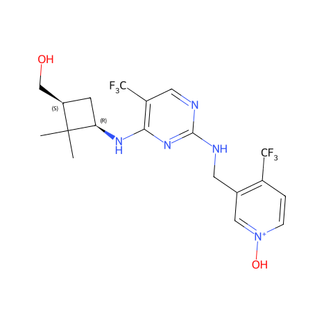 CC1(C)[C@@H](CO)C[C@H]1Nc1nc(NCc2c[n+](O)ccc2C(F)(F)F)ncc1C(F)(F)F